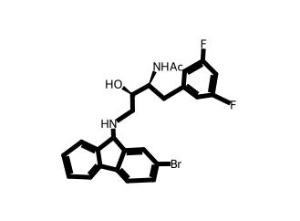 CC(=O)N[C@@H](Cc1cc(F)cc(F)c1)[C@H](O)CNC1c2ccccc2-c2ccc(Br)cc21